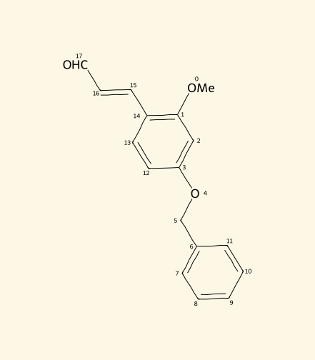 COc1cc(OCc2ccccc2)ccc1/C=C/C=O